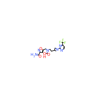 NC(=O)c1cc(CN(CCC2CN(c3nccc(C(F)(F)F)n3)C2)C(=O)O)on1